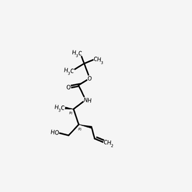 C=CC[C@@H](CO)[C@@H](C)NC(=O)OC(C)(C)C